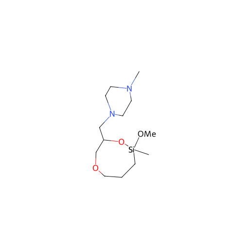 CO[Si]1(C)CCCOCC(CN2CCN(C)CC2)O1